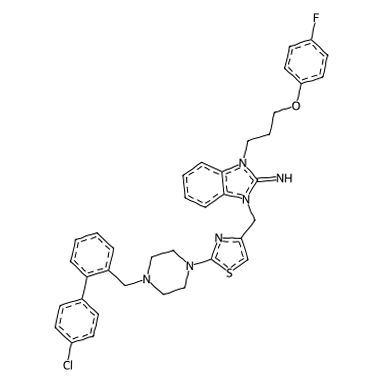 N=c1n(CCCOc2ccc(F)cc2)c2ccccc2n1Cc1csc(N2CCN(Cc3ccccc3-c3ccc(Cl)cc3)CC2)n1